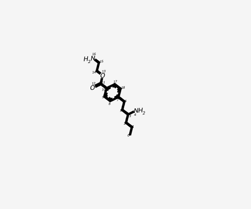 CCCC(N)CCc1ccc(C(=O)OCCN)cc1